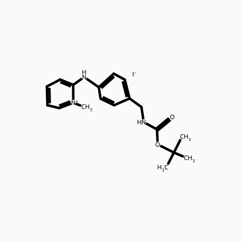 C[n+]1ccccc1Nc1ccc(CNC(=O)OC(C)(C)C)cc1.[I-]